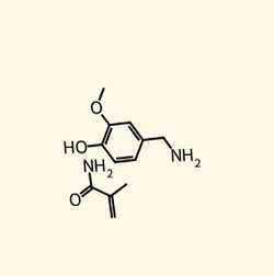 C=C(C)C(N)=O.COc1cc(CN)ccc1O